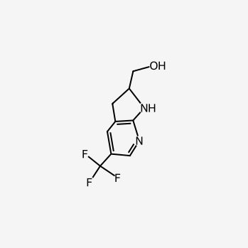 OCC1Cc2cc(C(F)(F)F)cnc2N1